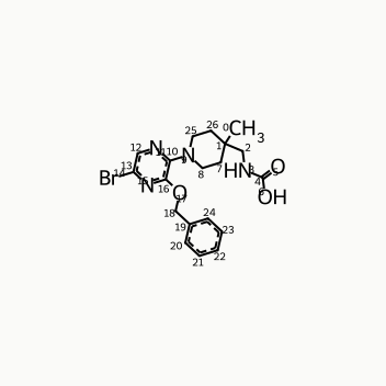 CC1(CNC(=O)O)CCN(c2ncc(Br)nc2OCc2ccccc2)CC1